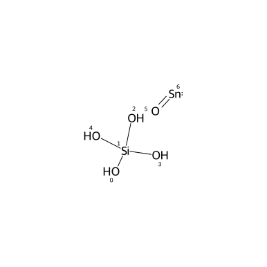 O[Si](O)(O)O.[O]=[Sn]